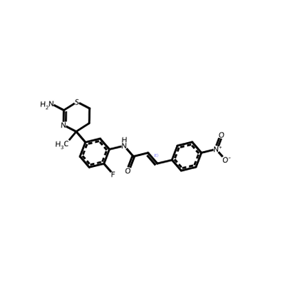 CC1(c2ccc(F)c(NC(=O)/C=C/c3ccc([N+](=O)[O-])cc3)c2)CCSC(N)=N1